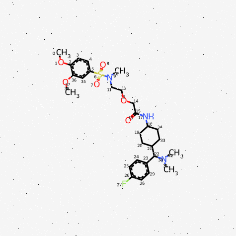 COc1ccc(S(=O)(=O)N(C)CCOCC(=O)NC2CCC(C(c3ccc(F)cc3)N(C)C)CC2)cc1OC